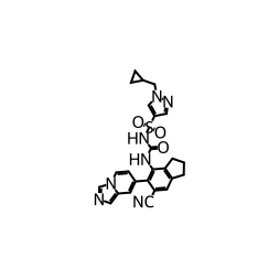 N#Cc1cc2c(c(NC(=O)NS(=O)(=O)c3cnn(CC4CC4)c3)c1-c1ccn3cncc3c1)CCC2